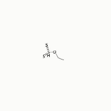 CCO[SH](=S)=S